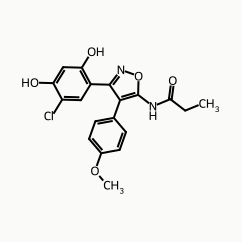 CCC(=O)Nc1onc(-c2cc(Cl)c(O)cc2O)c1-c1ccc(OC)cc1